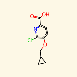 O=C(O)c1ccc(OCC2CC2)c(Cl)n1